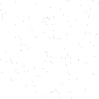 Cn1c(-c2cccnc2)cc(O)c(C(=N)c2ccccc2)c1=O